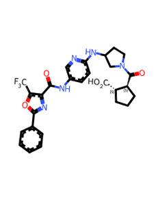 O=C(Nc1ccc(NC2CCN(C(=O)[C@H]3CCC[C@@H]3C(=O)O)C2)nc1)c1nc(-c2ccccc2)oc1C(F)(F)F